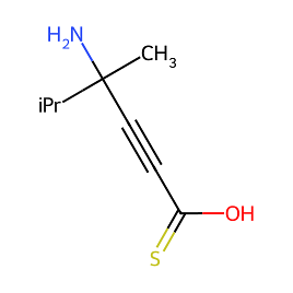 CC(C)C(C)(N)C#CC(O)=S